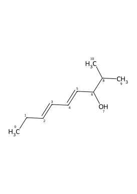 CCC=CC=CC(O)C(C)C